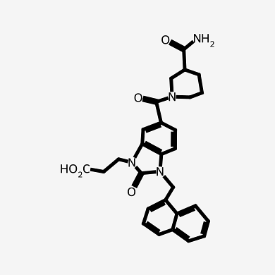 NC(=O)C1CCCN(C(=O)c2ccc3c(c2)n(CCC(=O)O)c(=O)n3Cc2cccc3ccccc23)C1